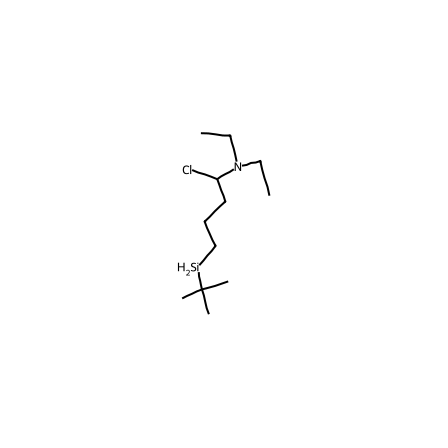 CCN(CC)C(Cl)CCC[SiH2]C(C)(C)C